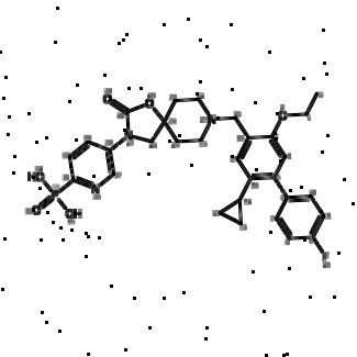 CCOc1cc(-c2ccc(F)cc2)c(C2CC2)cc1CN1CCC2(CC1)CN(c1ccc(P(=O)(O)O)nc1)C(=O)O2